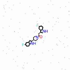 O=C(Cc1c[nH]c2ccc(F)cc12)N1CCC(c2cc3cc(F)ccc3[nH]2)CC1